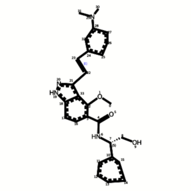 COc1c(C(=O)N[C@H](CO)c2ccccc2)ccc2[nH]nc(/C=C/c3cccc(N(C)C)c3)c12